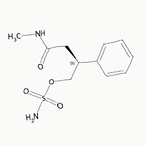 CNC(=O)C[C@H](COS(N)(=O)=O)c1ccccc1